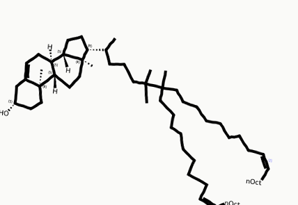 CCCCCCCC/C=C\CCCCCCCCC(C)(CCCCCCCC/C=C\CCCCCCCC)C(C)(C)CCCC(C)[C@H]1CC[C@H]2[C@@H]3CC=C4C[C@@H](O)CC[C@]4(C)[C@H]3CC[C@]12C